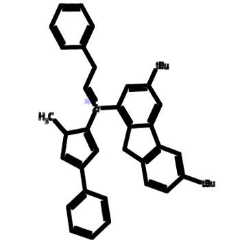 CC1C=C(c2ccccc2)C=[C]1/[Zr](=[CH]/Cc1ccccc1)[c]1cc(C(C)(C)C)cc2c1Cc1ccc(C(C)(C)C)cc1-2